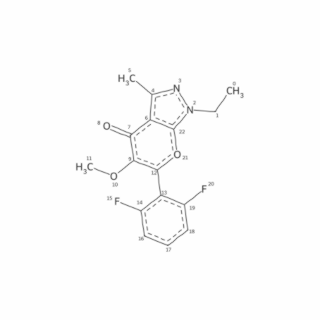 CCn1nc(C)c2c(=O)c(OC)c(-c3c(F)cccc3F)oc21